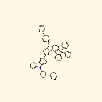 c1ccc(-c2ccc(C3c4ccc(-c5ccc6c(c5)c5ccccc5n6-c5cccc(-c6ccccc6)c5)cc4-c4c3ccc3c4-c4ccccc4C3(c3ccccc3)c3ccccc3)cc2)cc1